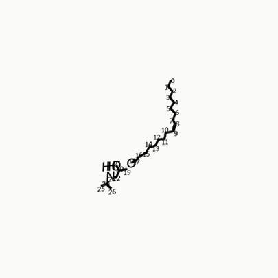 CCCCCCCC/C=C\CCCCCCCCOCC(O)CNC(C)C